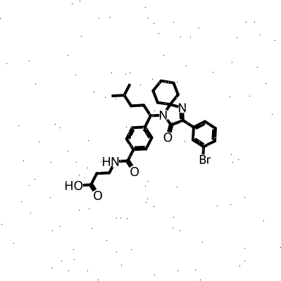 CC(C)CCC(c1ccc(C(=O)NCCC(=O)O)cc1)N1C(=O)C(c2cccc(Br)c2)=NC12CCCCC2